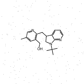 Cc1cnc(CC2CN(C(C)(C)C)c3ncccc32)c(CO)c1